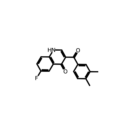 Cc1ccc(C(=O)c2c[nH]c3ccc(F)cc3c2=O)cc1C